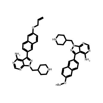 C=CCOc1ccc2cc(-c3nn(CC4CCNCC4)c4ncnc(N)c34)ccc2c1.CCCCOc1ccc2cc(-c3nn(CC4CCNCC4)c4ncnc(N)c34)ccc2c1